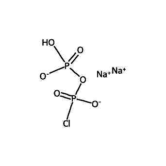 O=P([O-])(O)OP(=O)([O-])Cl.[Na+].[Na+]